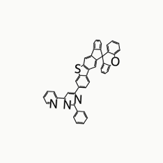 c1ccc(-c2nc(-c3ccc4c(c3)sc3cc5c(cc34)C3(c4ccccc4Oc4ccccc43)c3ccccc3-5)cc(-c3ccccn3)n2)cc1